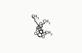 CCCCCCC(=O)OC(CCCC)c1cc(OC)c2c(c1OC)C(=O)C=CC2=O